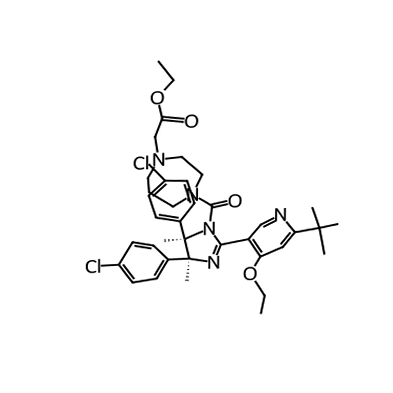 CCOC(=O)CN1CCCN(C(=O)N2C(c3cnc(C(C)(C)C)cc3OCC)=N[C@@](C)(c3ccc(Cl)cc3)[C@@]2(C)c2ccc(Cl)cc2)CC1